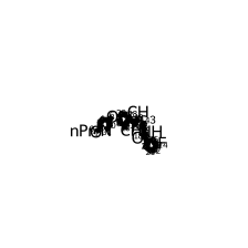 CCCOc1ccc(Oc2cc(C)c(-c3csc(NC(=O)c4cccc(F)c4)n3)c(C)c2)cn1